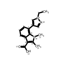 CCn1cc(-c2cccc3c(C(=O)O)c(C)n(C)c23)cn1